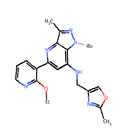 CCOc1ncccc1-c1cc(NCc2coc(C)n2)c2c(n1)c(C)nn2[C@@H](C)CC